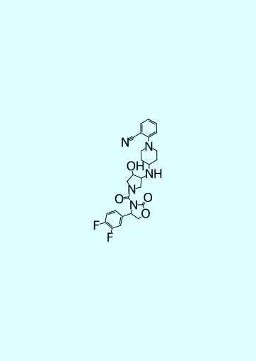 N#Cc1ccccc1N1CCC(NC2CN(C(=O)N3C(=O)OCC3c3ccc(F)c(F)c3)CC2O)CC1